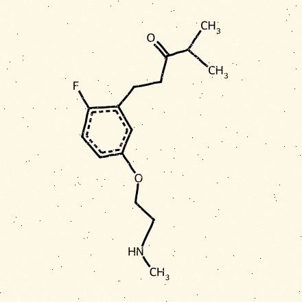 CNCCOc1ccc(F)c(CCC(=O)C(C)C)c1